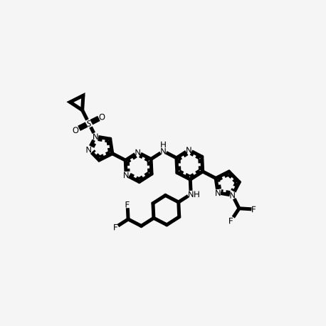 O=S(=O)(C1CC1)n1cc(-c2nccc(Nc3cc(NC4CCC(CC(F)F)CC4)c(-c4ccn(C(F)F)n4)cn3)n2)cn1